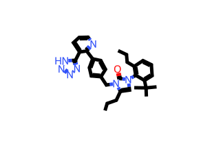 CCCc1cccc(C(C)(C)C)c1-n1cc(CCC)n(Cc2ccc(-c3ncccc3-c3nnn[nH]3)cc2)c1=O